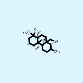 CC1CC[C@@H]2C(CO)(CC[C@@H]3C(C)(C(=O)O)CCCC23C)C1